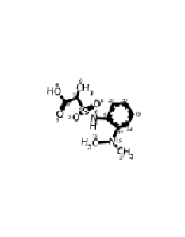 CC(C(=O)O)S(=O)(=O)Nc1ccccc1N(C)C